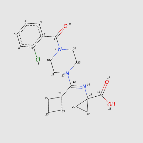 O=C(c1ccccc1Cl)N1CCN(/C(=N/C2(C(=O)O)CC2)C2CCC2)CC1